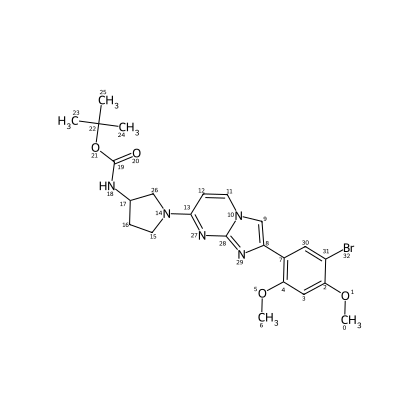 COc1cc(OC)c(-c2cn3ccc(N4CCC(NC(=O)OC(C)(C)C)C4)nc3n2)cc1Br